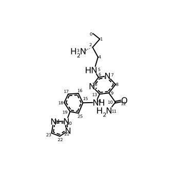 CC[C@@H](N)CNc1ncc(C(N)=O)c(Nc2cccc(-n3nccn3)c2)n1